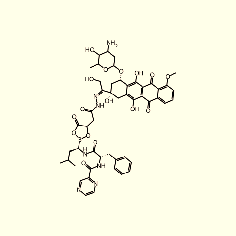 COc1cccc2c1C(=O)c1c(O)c3c(c(O)c1C2=O)C[C@@](O)(/C(CO)=N\NC(=O)CC1OB([C@H](CC(C)C)NC(=O)[C@H](Cc2ccccc2)NC(=O)c2cnccn2)OC1=O)C[C@@H]3OC1CC(N)C(O)C(C)O1